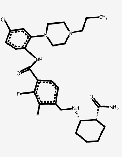 NC(=O)[C@@H]1CCCC[C@@H]1NCc1ccc(C(=O)Nc2ccc(Cl)cc2N2CCN(CCC(F)(F)F)CC2)c(F)c1F